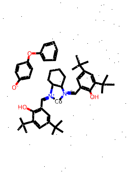 CC(C)(C)c1cc(C=[N+]2[Co][N+](=Cc3cc(C(C)(C)C)cc(C(C)(C)C)c3O)C3CCCCC32)c(O)c(C(C)(C)C)c1.[O-]c1ccc(Oc2ccccc2)cc1